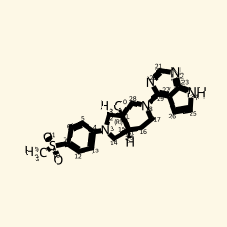 C[C@]12CN(c3ccc(S(C)(=O)=O)cc3)C[C@H]1CCN(c1ncnc3[nH]ccc13)C2